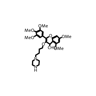 COc1cc(OC)c2c(c1)OC(c1cc(OC)c(OC)c(OC)c1)=C(OCCCCN1CCNCC1)C2C=O